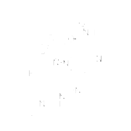 CCNc1cc(F)cc2c1[nH]c1ncc(-c3cncc(C(=O)NOC)c3)c(-n3ccc(C(F)(F)F)n3)c12